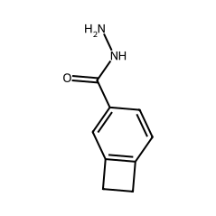 NNC(=O)c1ccc2c(c1)CC2